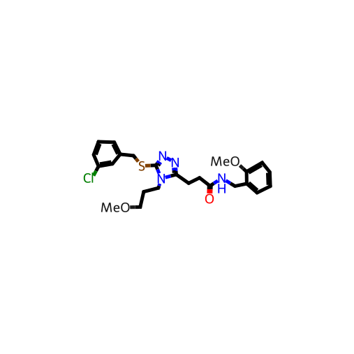 COCCCn1c(CCC(=O)NCc2ccccc2OC)nnc1SCc1cccc(Cl)c1